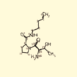 C=CCCCNC(=O)[C@@H]1CCCN1C(=O)C(N)C(C)O